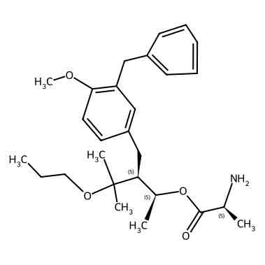 CCCOC(C)(C)[C@@H](Cc1ccc(OC)c(Cc2ccccc2)c1)[C@H](C)OC(=O)[C@H](C)N